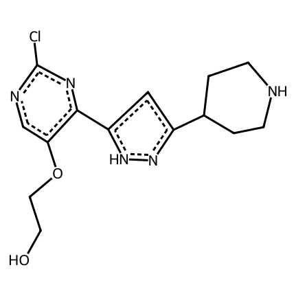 OCCOc1cnc(Cl)nc1-c1cc(C2CCNCC2)n[nH]1